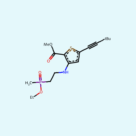 CCOP(C)(=O)CCNc1cc(C#CC(C)(C)C)sc1C(=O)OC